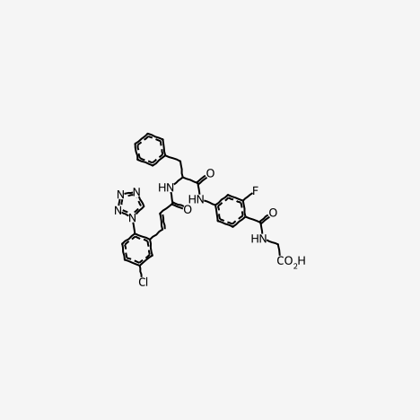 O=C(O)CNC(=O)c1ccc(NC(=O)C(Cc2ccccc2)NC(=O)C=Cc2cc(Cl)ccc2-n2cnnn2)cc1F